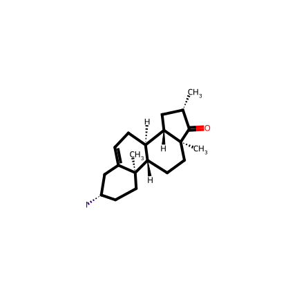 C[C@H]1C[C@H]2[C@@H]3CC=C4C[C@@H](I)CC[C@]4(C)[C@H]3CC[C@]2(C)C1=O